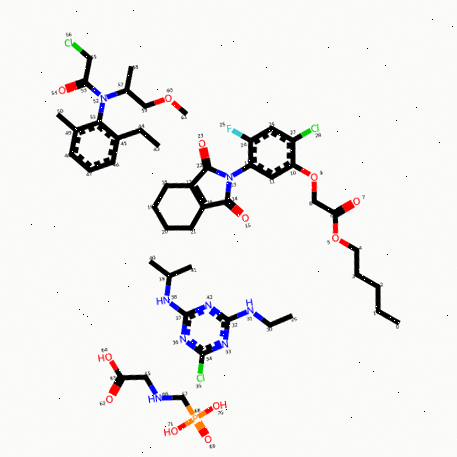 CCCCCOC(=O)COc1cc(N2C(=O)C3=C(CCCC3)C2=O)c(F)cc1Cl.CCNc1nc(Cl)nc(NC(C)C)n1.CCc1cccc(C)c1N(C(=O)CCl)C(C)COC.O=C(O)CNCP(=O)(O)O